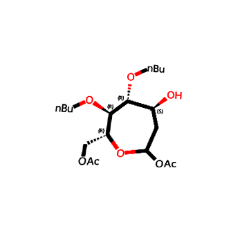 CCCCO[C@H]1[C@H](OCCCC)[C@@H](COC(C)=O)OC(OC(C)=O)C[C@@H]1O